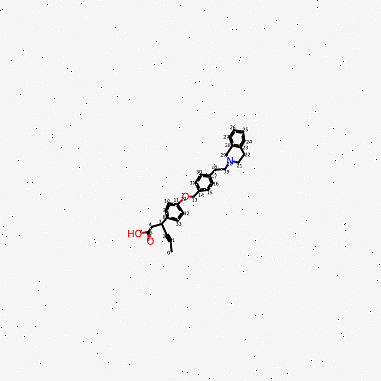 CC#CC(CC(=O)O)c1ccc(OCc2ccc(CCN3CCc4ccccc4C3)cc2)cc1